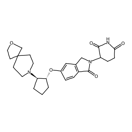 O=C1CCC(N2Cc3cc(O[C@@H]4CCC[C@H]4N4CCC5(CCOC5)CC4)ccc3C2=O)C(=O)N1